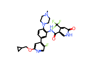 CN1CCN(c2ccc(-c3cc(OCC4CC4)ncc3F)cc2NC(=O)c2c[nH]c(=O)cc2C(F)(F)F)CC1